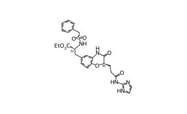 CCOC(=O)[C@H](Cc1ccc2c(c1)NC(=O)[C@@H](CCC(=O)Nc1ncc[nH]1)O2)NS(=O)(=O)Cc1ccccc1